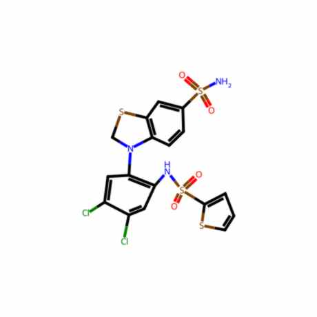 NS(=O)(=O)c1ccc2c(c1)SCN2c1cc(Cl)c(Cl)cc1NS(=O)(=O)c1cccs1